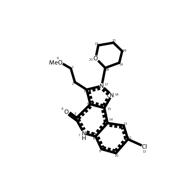 COCCc1c2c(=O)[nH]c3ccc(Cl)cc3c2nn1C1CCCCO1